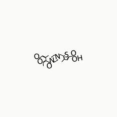 Cc1cc(C(=O)O)sc1CN1CCN(C(=O)c2c(C)cc(=O)oc2C)CC1